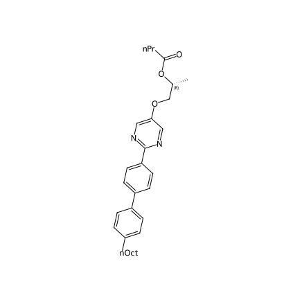 CCCCCCCCc1ccc(-c2ccc(-c3ncc(OC[C@@H](C)OC(=O)CCC)cn3)cc2)cc1